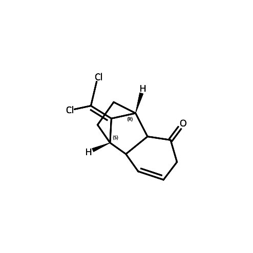 O=C1CC=CC2C1[C@H]1CC[C@@H]2C1=C(Cl)Cl